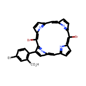 CCc1ccc(C2=CC3=CC4=NC(=C(Br)C5=NC(=CC6=NC(=C(Br)C2=N3)C=C6)C=C5)C=C4)c(C(=O)O)c1